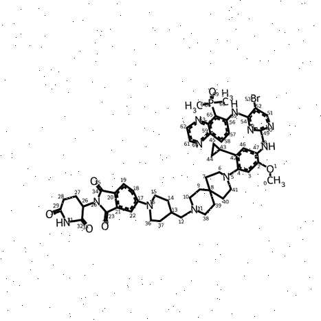 COc1cc(N2CCC3(CCN(CC4CCN(c5ccc6c(c5)C(=O)N(C5CCC(=O)NC5=O)C6=O)CC4)CC3)CC2)c(C2CC2)cc1Nc1ncc(Br)c(Nc2ccc3nccnc3c2P(C)(C)=O)n1